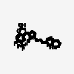 O=C(O)C[C@@H](c1ccc(F)c(C(F)(F)F)c1)N1CCN(CCCc2ccc3c(n2)NCCC3)C1=O